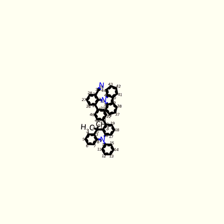 CC1(C)c2ccccc2N(c2ccccc2)c2cccc(-c3ccc(-c4cccc(C#N)c4-n4c5ccccc5c5ccccc54)cc3)c21